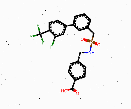 O=C(O)c1ccc(CNS(=O)(=O)Cc2cccc(-c3ccc(C(F)(F)F)c(F)c3)c2)cc1